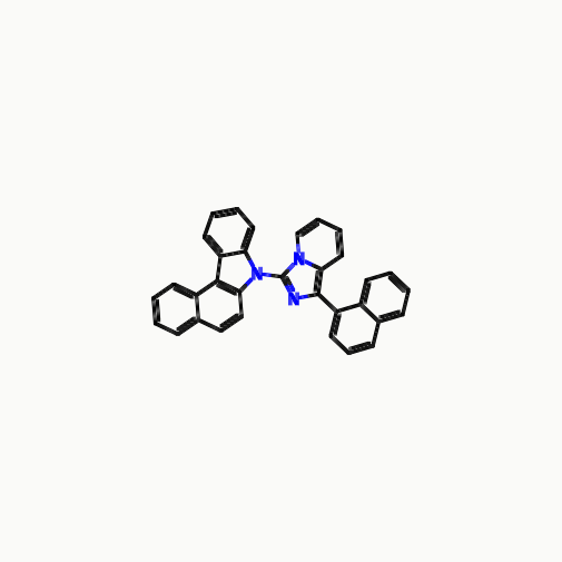 c1ccc2c(-c3nc(-n4c5ccccc5c5c6ccccc6ccc54)n4ccccc34)cccc2c1